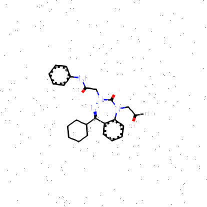 CC(C)(C)C(=O)CN1C(=O)N(CC(=O)Nc2ccccc2)N=C(C2CCCCC2)c2ccccc21